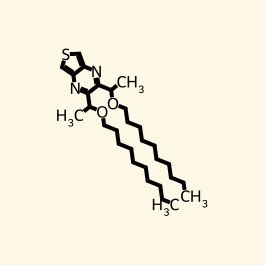 CCCCCCCCCCOC(C)c1nc2cscc2nc1C(C)OCCCCCCCCCC